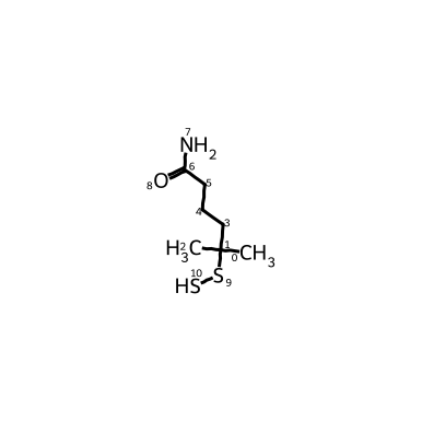 CC(C)(CCCC(N)=O)SS